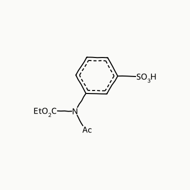 CCOC(=O)N(C(C)=O)c1cccc(S(=O)(=O)O)c1